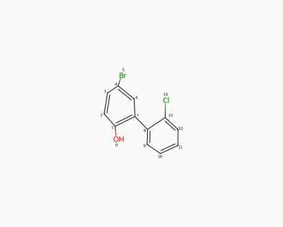 Oc1ccc(Br)cc1-c1ccccc1Cl